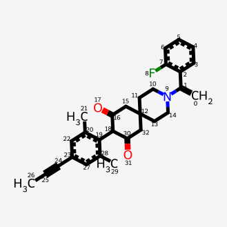 C=C(c1ccccc1F)N1CCC2(CC1)CC(=O)C(c1c(C)cc(C#CC)cc1C)C(=O)C2